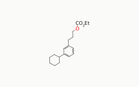 CCOC(=O)OCCCc1cccc(C2CCCCC2)c1